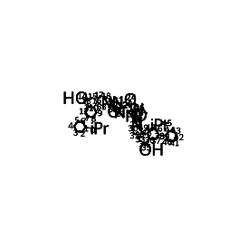 CC(C)c1ccccc1-c1ccc2c(c1)C(O)CC21CCN(c2nc(C(=O)c3noc(N4CCC5(CC(O)c6cc(-c7ccccc7C(C)C)ccc65)C4)n3)no2)C1